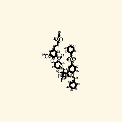 COc1cc(CCC2OC(C)O2)cc(OC)c1OC1CCN(CC(C)(c2cn(Cc3ccccc3)c3ccc(C4OC(c5ccccc5)O4)cc23)C(F)(F)F)CC1